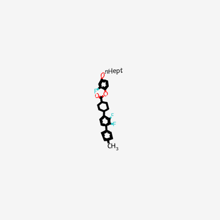 CCCCCCCOc1ccc(OC(=O)C2CCC(c3ccc(-c4ccc(C)cc4)c(F)c3F)CC2)c(F)c1